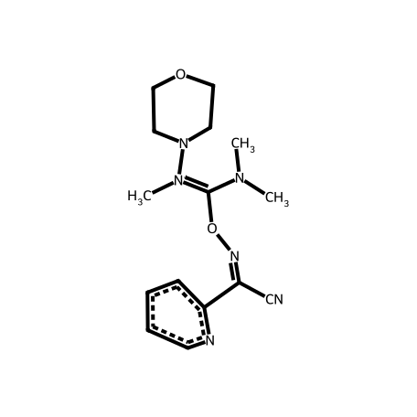 CN(C)/C(O/N=C(/C#N)c1ccccn1)=[N+](/C)N1CCOCC1